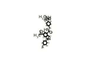 CNS(=O)(=O)c1ccc(CNC(=O)c2cc(N(C)C)cc3c2cnn3-c2ccc(F)cc2)cc1